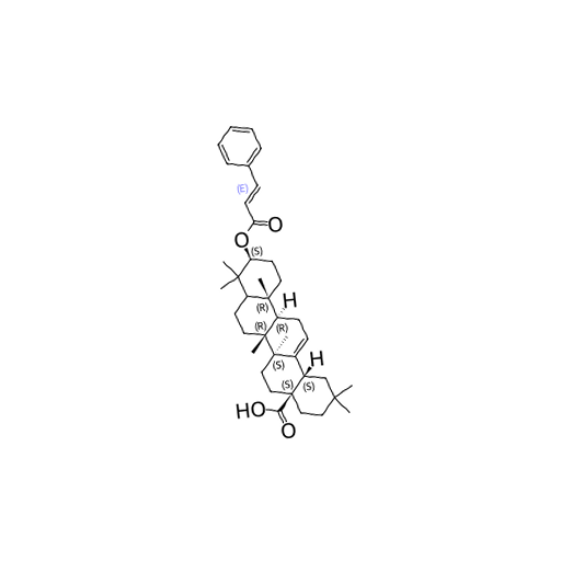 CC1(C)CC[C@]2(C(=O)O)CC[C@]3(C)C(=CC[C@@H]4[C@@]5(C)CC[C@H](OC(=O)/C=C/c6ccccc6)C(C)(C)C5CC[C@]43C)[C@@H]2C1